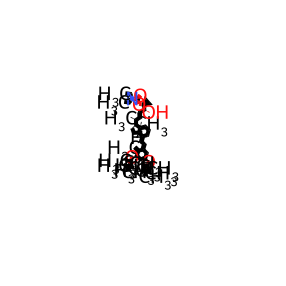 C=C1/C(=C\C=C2/CCC[C@]3(C)[C@@H]([C@H](C)/C=C/[C@@H](O)C4(OC(=O)N(CC)CC)CC4)CC[C@@H]23)C[C@@H](O[Si](C)(C)C(C)(C)C)C[C@@H]1O[Si](C)(C)C(C)(C)C